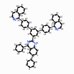 c1ccc(-c2ccc3nc(-c4cc(-c5ccc(-c6nccc7ccccc67)cc5)cc(-c5ccc(-c6nccc7ccccc67)cc5)c4)nc(-c4ccccc4)c3c2)cc1